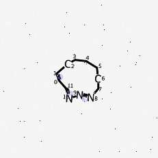 C1=C\CCCCCC/N=N/N=C/1